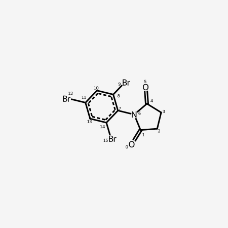 O=C1CCC(=O)N1c1c(Br)cc(Br)cc1Br